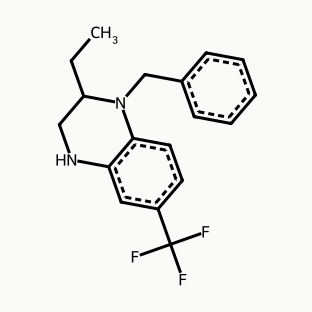 CCC1CNc2cc(C(F)(F)F)ccc2N1Cc1ccccc1